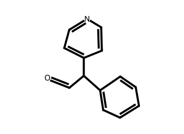 O=CC(c1ccccc1)c1ccncc1